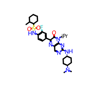 CC1CCCCC1S(=O)(=O)Nc1ccc(-c2nc3cnc(N[C@H]4CC[C@H](N(C)C)CC4)nc3n(C(C)C)c2=O)cc1F